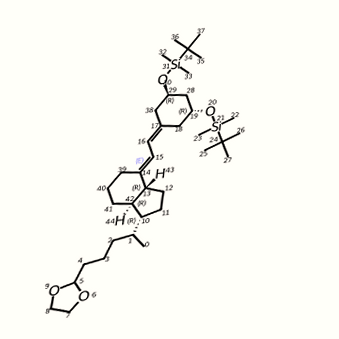 CC(CCCC1OCCO1)[C@H]1CC[C@H]2/C(=C/C=C3C[C@@H](O[Si](C)(C)C(C)(C)C)C[C@H](O[Si](C)(C)C(C)(C)C)C3)CCC[C@H]12